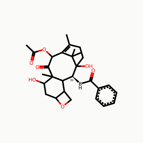 CC(=O)OC1C(=O)C2(C)C(O)CC3OCC3C2[C@H](BC(=O)c2ccccc2)C2(O)CCC(C)=C1C2(C)C